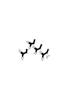 CCC(=O)[O-].CCC(=O)[O-].CCC(=O)[O-].CCC(=O)[O-].[U+4]